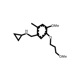 COCCCOc1cc(CNC2CC2)c(C)cc1OC